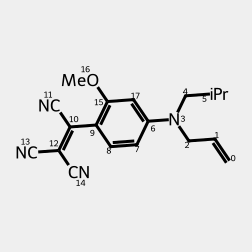 C=CCN(CC(C)C)c1ccc(C(C#N)=C(C#N)C#N)c(OC)c1